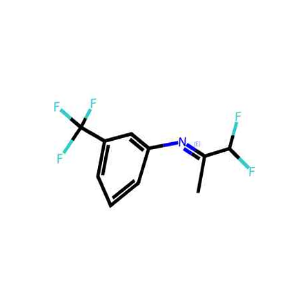 C/C(=N\c1cccc(C(F)(F)F)c1)C(F)F